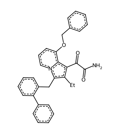 CCc1c(C(=O)C(N)=O)c2c(OCc3ccccc3)cccn2c1Cc1ccccc1-c1ccccc1